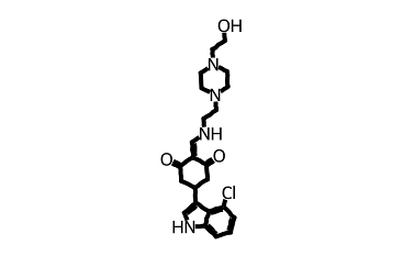 O=C1CC(c2c[nH]c3cccc(Cl)c23)CC(=O)C1=CNCCN1CCN(CCO)CC1